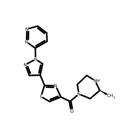 C[C@H]1CN(C(=O)c2csc(-c3cnn(-c4cccnn4)c3)n2)CCN1